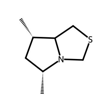 C[C@@H]1C[C@H](C)C2CSCN21